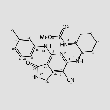 COC(=O)N[C@H]1CCCC[C@H]1Nc1nc(Nc2cccc(C)c2)c2c(c1C#N)CNC2=O